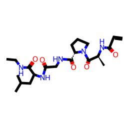 C=CC(=O)N[C@@H](C)C(=O)N1CCC[C@H]1C(=O)NCC(=O)NC(CC(C)C)C(=O)NCC